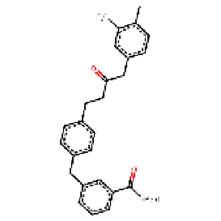 CCCCCC(=O)c1cccc(Cc2ccc(CCC(=O)Cc3ccc(C)c(C(F)(F)F)c3)cc2)c1